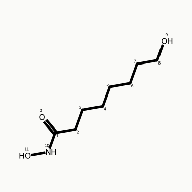 O=C(CCCCCCCO)NO